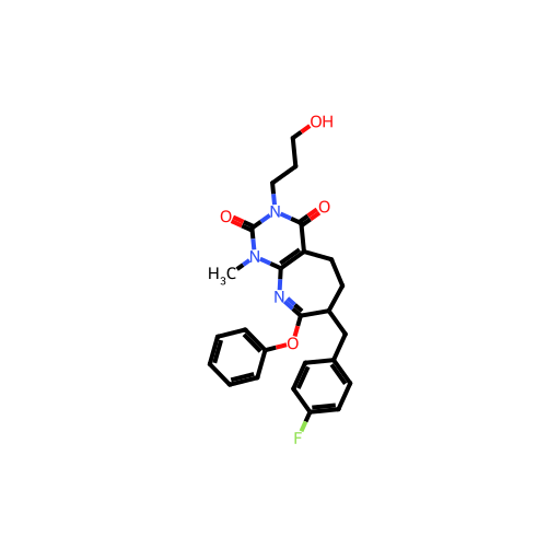 Cn1c2c(c(=O)n(CCCO)c1=O)CCC(Cc1ccc(F)cc1)C(Oc1ccccc1)=N2